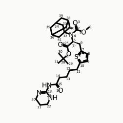 COC(=O)N([C@@H](Cc1ccc(CCCCC(=O)NC2=NCCCN2)s1)C(=O)OC(C)(C)C)C12CC3CC(CC(C3)C1)C2